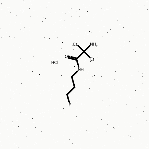 CCC(N)(CC)C(=O)NCCCF.Cl